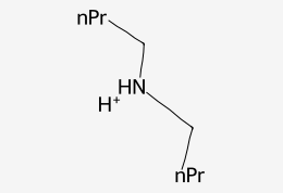 CCCCNCCCC.[H+]